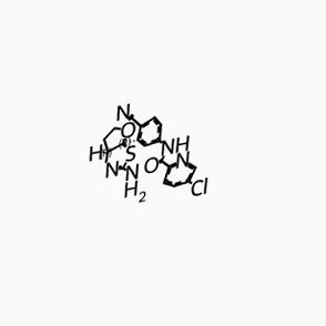 N#Cc1ccc(NC(=O)c2ccc(Cl)cn2)cc1[C@@]12OCC[C@@H]1CN=C(N)S2